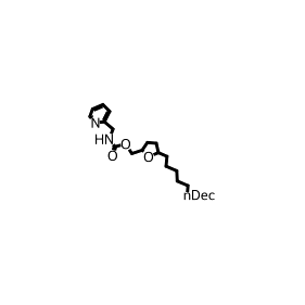 CCCCCCCCCCCCCCCC1CCC(COC(=O)NCc2ccccn2)O1